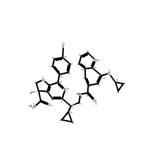 C[C@]1(C(N)=O)COc2c1cc([C@@H](CNC(=O)c1cc(OC3CC3)c3ncccc3c1)C1CC1)nc2-c1ccc(F)cc1